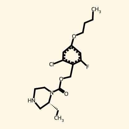 CCCCOc1cc(F)c(COC(=O)N2CCNC[C@H]2CC)c(Cl)c1